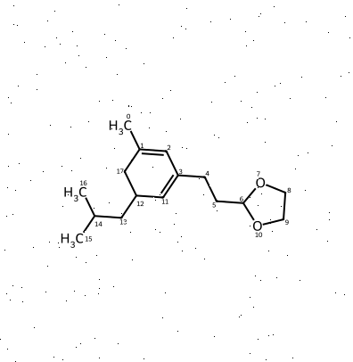 CC1=CC(CCC2OCCO2)=CC(CC(C)C)C1